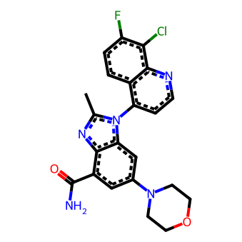 Cc1nc2c(C(N)=O)cc(N3CCOCC3)cc2n1-c1ccnc2c(Cl)c(F)ccc12